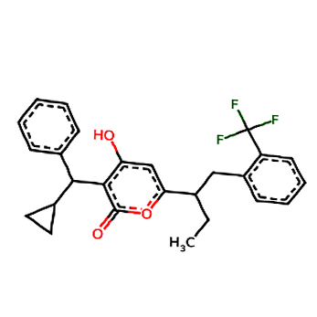 CCC(Cc1ccccc1C(F)(F)F)c1cc(O)c(C(c2ccccc2)C2CC2)c(=O)o1